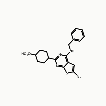 CCc1cc2c(NCc3ccccc3)nc(C3CCC(C(=O)O)CC3)nc2s1